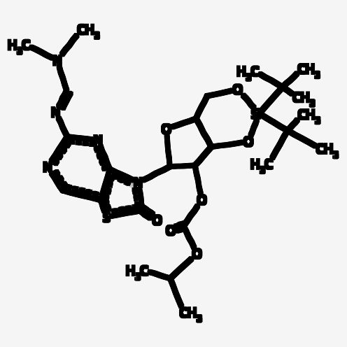 CC(C)OC(=O)OC1C2O[Si](C(C)(C)C)(C(C)(C)C)OCC2OC1n1c(=O)sc2cnc(N=CN(C)C)nc21